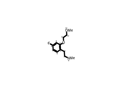 CNCCc1ccc(F)cc1OCCOC